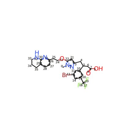 Cn1nc(CC(CC(=O)O)c2cc(Br)cc(C(F)(F)F)c2)cc1OCCc1ccc2c(n1)NCCC2